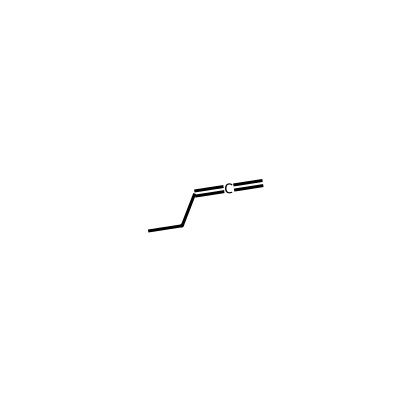 C=C=CCC